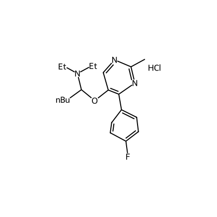 CCCCC(Oc1cnc(C)nc1-c1ccc(F)cc1)N(CC)CC.Cl